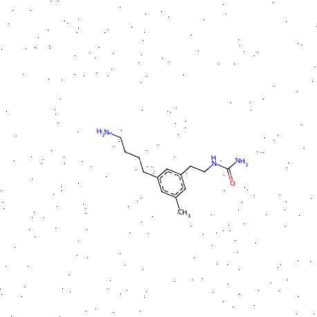 Cc1cc(CCCCN)cc(CCNC(N)=O)c1